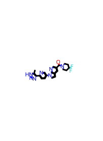 Cc1[nH]nnc1-c1ccc(-n2ccc3cc(C(=O)N4CCC(F)(F)CC4)cnc32)cn1